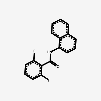 O=C(Nc1cccc2ccccc12)c1c(F)cccc1F